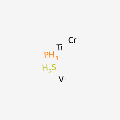 P.S.[Cr].[Ti].[V]